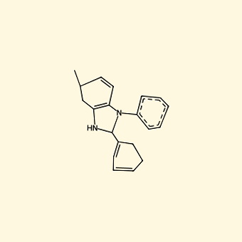 CC1C=CC2=C(C1)NC(C1=CC=CCC1)N2c1ccccc1